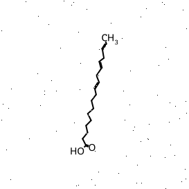 CC=CCC=CCC=CCCCCCCCCC(=O)O